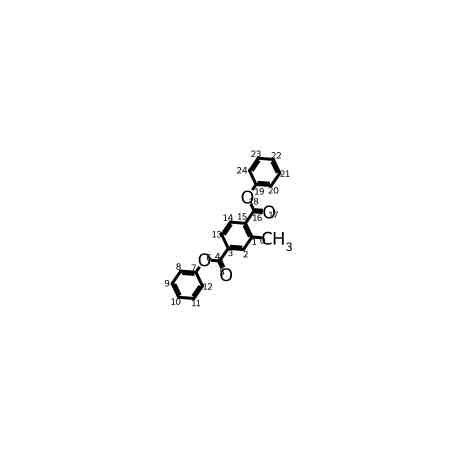 Cc1cc(C(=O)Oc2ccccc2)ccc1C(=O)Oc1ccccc1